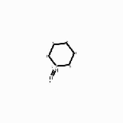 O=[IH]1CCCCC1